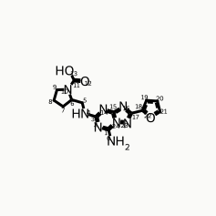 Nc1nc(NCC2CCCN2C(=O)O)nc2nc(-c3ccco3)nn12